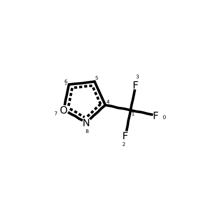 FC(F)(F)c1c[c]on1